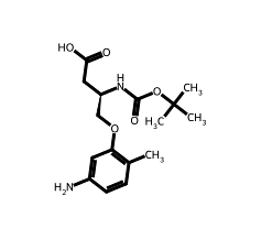 Cc1ccc(N)cc1OC[C@@H](CC(=O)O)NC(=O)OC(C)(C)C